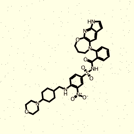 O=C(NS(=O)(=O)c1ccc(NCC2CCC(N3CCOCC3)CC2)c([N+](=O)[O-])c1)c1ccccc1N1CCCOc2nc3[nH]ccc3cc21